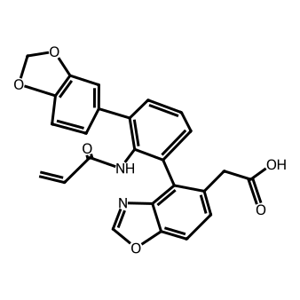 C=CC(=O)Nc1c(-c2ccc3c(c2)OCO3)cccc1-c1c(CC(=O)O)ccc2ocnc12